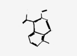 Cc1cccc2c(C(=O)O)c(I=O)ccc12